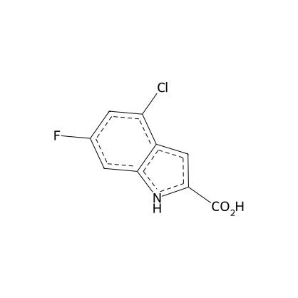 O=C(O)c1cc2c(Cl)cc(F)cc2[nH]1